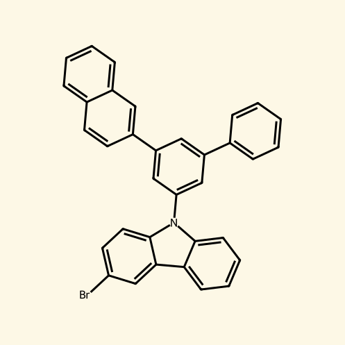 Brc1ccc2c(c1)c1ccccc1n2-c1cc(-c2ccccc2)cc(-c2ccc3ccccc3c2)c1